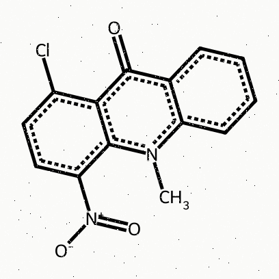 Cn1c2ccccc2c(=O)c2c(Cl)ccc([N+](=O)[O-])c21